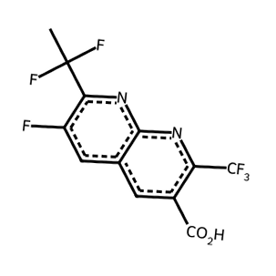 CC(F)(F)c1nc2nc(C(F)(F)F)c(C(=O)O)cc2cc1F